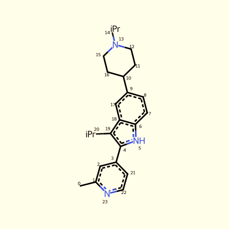 Cc1cc(-c2[nH]c3ccc(C4CCN(C(C)C)CC4)cc3c2C(C)C)ccn1